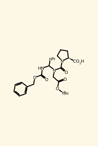 CCCC(NC(=O)OCc1ccccc1)N(CC(=O)OC(C)(C)C)C(=O)N1CCC[C@H]1C(=O)O